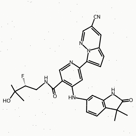 CC1(C)C(=O)Nc2cc(Nc3cc(-c4ccc5cc(C#N)cnn45)ncc3C(=O)NC[C@@H](F)C(C)(C)O)ccc21